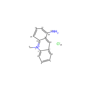 C[n+]1c2ccccc2cc2c(N)cccc21.[Cl-]